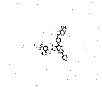 CCc1c(N2CCN(C(=O)c3ncnc(C)c3O)CC2)c(=O)n2nc(C3=CCOCC3)nc2n1CC(=O)Nc1ccc(S(=O)(=O)C(F)(F)F)cc1C